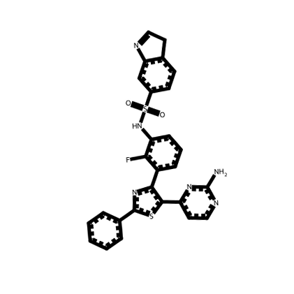 Nc1nccc(-c2sc(-c3ccccc3)nc2-c2cccc(NS(=O)(=O)c3ccc4c(c3)N=CC4)c2F)n1